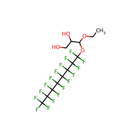 CCOC(OC(F)(F)C(F)(F)C(F)(F)C(F)(F)C(F)(F)C(F)(F)C(F)(F)C(F)(F)F)C(O)CO